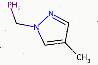 Cc1cnn(CP)c1